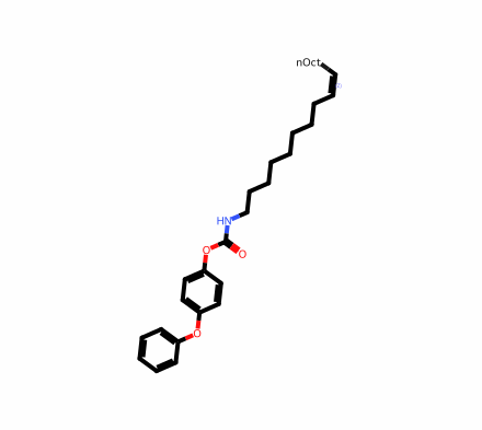 CCCCCCCC/C=C\CCCCCCCCNC(=O)Oc1ccc(Oc2ccccc2)cc1